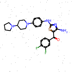 Nc1nc(Nc2ccc(N3CCC(N4CCCC4)CC3)cc2)sc1C(=O)c1ccc(F)c(F)c1